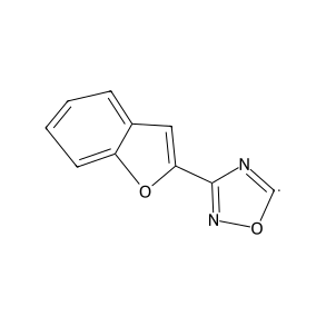 [c]1nc(-c2cc3ccccc3o2)no1